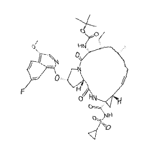 CC[C@@H]1C[C@H](C)CC/C=C\[C@@H]2C[C@@]2(C(=O)NS(=O)(=O)C2CC2)NC(=O)[C@@H]2C[C@H](Oc3ncc(OC)c4ccc(F)cc34)CN2C(=O)[C@@H]1NC(=O)OC(C)(C)C